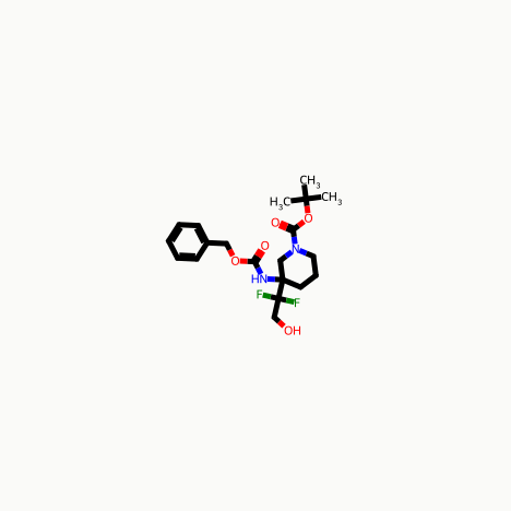 CC(C)(C)OC(=O)N1CCCC(NC(=O)OCc2ccccc2)(C(F)(F)CO)C1